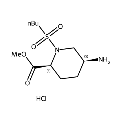 CCCCS(=O)(=O)N1C[C@@H](N)CC[C@H]1C(=O)OC.Cl